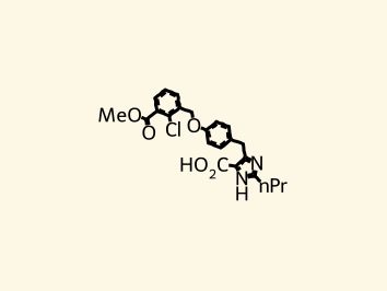 CCCc1nc(Cc2ccc(OCc3cccc(C(=O)OC)c3Cl)cc2)c(C(=O)O)[nH]1